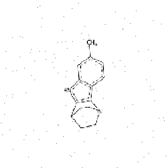 Cc1ccc2c3c([nH]c2c1)C1CCN3CC1